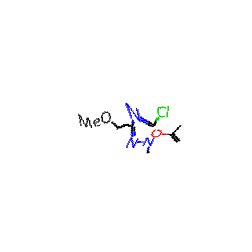 C=C(C)ON(C)/N=C(COC)\N=C\Cl